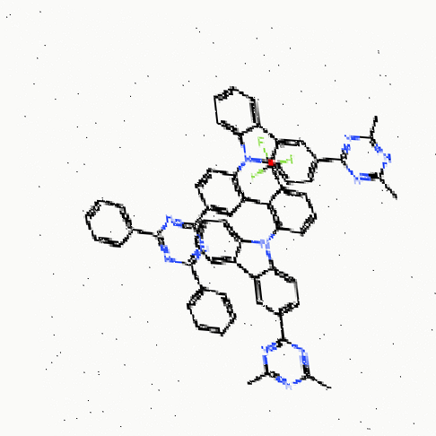 Cc1nc(C)nc(-c2ccc3c(c2)c2ccccc2n3-c2ccc(-c3nc(-c4ccccc4)nc(-c4ccccc4)n3)cc2-c2c(-n3c4ccccc4c4cc(-c5nc(C)nc(C)n5)ccc43)cccc2C(F)(F)F)n1